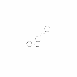 CCC(=O)N(c1ccccc1)C1CCN(CCC2CCCCC2)CC1